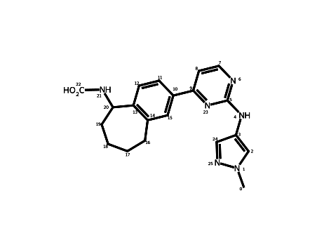 Cn1cc(Nc2nccc(-c3ccc4c(c3)CCCCC4NC(=O)O)n2)cn1